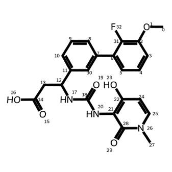 COc1cccc(-c2cccc(C(CC(=O)O)NC(=O)Nc3c(O)ccn(C)c3=O)c2)c1F